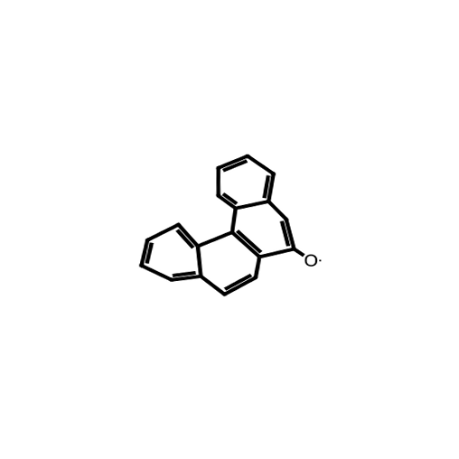 [O]c1cc2ccccc2c2c1ccc1ccccc12